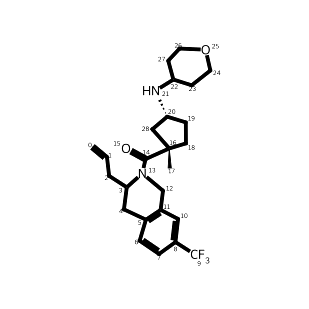 C=CCC1Cc2ccc(C(F)(F)F)cc2CN1C(=O)[C@@]1(C)CC[C@@H](NC2CCOCC2)C1